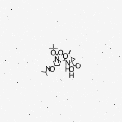 C=C[C@@H]1C[C@]1(NC(=O)[C@@H]1C[C@@H](ON=C(C)C)CN1C(=O)OC(C)(C)C)C(=O)O